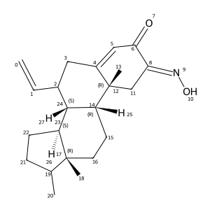 C=CC1CC2=CC(=O)C(=NO)C[C@]2(C)[C@@H]2CC[C@]3(C)C(C)CC[C@H]3[C@H]12